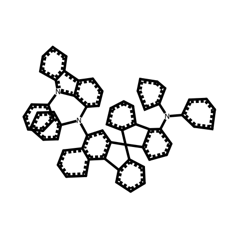 c1ccc(N(c2ccccc2)c2cccc3c2-c2ccccc2C32c3ccccc3-c3c2cc(N(c2ccccc2)c2cccc4c5ccccc5n(-c5ccccc5)c24)c2ccccc32)cc1